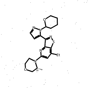 CCc1cc(N2CCOC[C@H]2C)nc2c(-c3ccnn3C3CCCCO3)nsc12